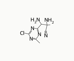 Cc1nc(Cl)nc(C(N)C(C)(N)C#N)n1